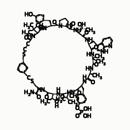 CC(C)[C@]1(C)NC(=O)[C@H](Cc2ccc(OP(=O)(O)O)cc2)NC(=O)[C@H](C)NC(=O)C(C)(C)NC(=O)[C@H](Cc2c[nH]c3ncccc23)NC(=O)[C@H]([C@@H](C)O)NC(=O)[C@@H]2CCCN2C(=O)[C@H](Cc2ccc(O)cc2)NC(=O)C(C(C)(C)C)NC(=O)CCSCc2cccc(c2)CSC[C@H](C(N)=O)NC(=O)C([C@H](C)O)NC1=O